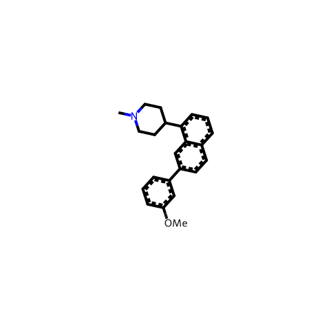 COc1cccc(-c2ccc3cccc(C4CCN(C)CC4)c3c2)c1